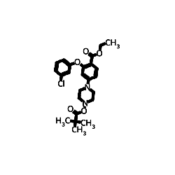 CCOC(=O)c1ccc(N2CCN(OC(=O)C(C)(C)C)CC2)cc1Oc1cccc(Cl)c1